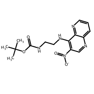 CC(C)(C)OC(=O)NCCNc1c([N+](=O)[O-])cnc2cccnc12